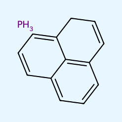 C1=Cc2cccc3cccc(c23)C1.P